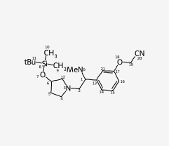 CNC(CN1CCC(O[Si](C)(C)C(C)(C)C)C1)c1cccc(OCC#N)c1